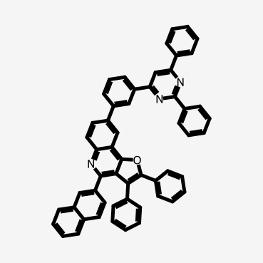 c1ccc(-c2cc(-c3cccc(-c4ccc5nc(-c6ccc7ccccc7c6)c6c(-c7ccccc7)c(-c7ccccc7)oc6c5c4)c3)nc(-c3ccccc3)n2)cc1